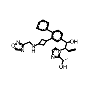 C=CC(C(O)c1ccc(-c2ccccc2)c(C2CC(NCc3ncon3)C2)c1)n1ccnc1[C@H](C)O